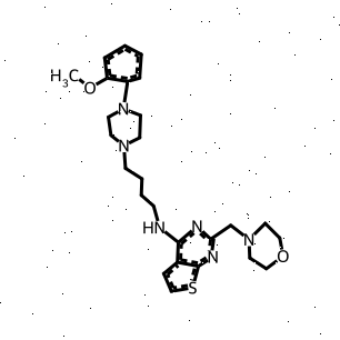 COc1ccccc1N1CCN(CCCCNc2nc(CN3CCOCC3)nc3sccc23)CC1